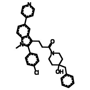 Cn1c(-c2ccc(Cl)cc2)c(CCC(=O)N2CCC(O)(Cc3ccccc3)CC2)c2cc(-c3ccncc3)ccc21